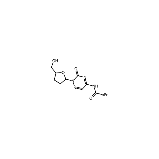 CCCC(=O)Nc1cnn(C2CCC(CO)O2)c(=O)n1